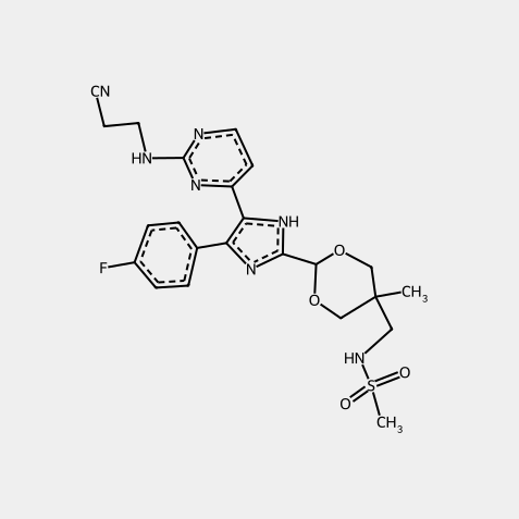 CC1(CNS(C)(=O)=O)COC(c2nc(-c3ccc(F)cc3)c(-c3ccnc(NCCC#N)n3)[nH]2)OC1